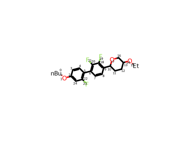 CCCCOc1ccc(-c2ccc(C3CCC(OCC)CO3)c(F)c2F)c(F)c1